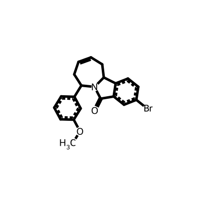 COc1cccc(C2CC=CCC3c4ccc(Br)cc4C(=O)N23)c1